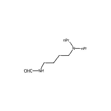 CCCN(CCC)CCCCNC=O